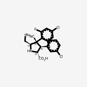 CC(C)(C)C[C@@H]1N[C@@H](C(=O)O)[C@H](c2cccc(Cl)c2)[C@@]1(C#N)c1c(F)cc(Cl)cc1F